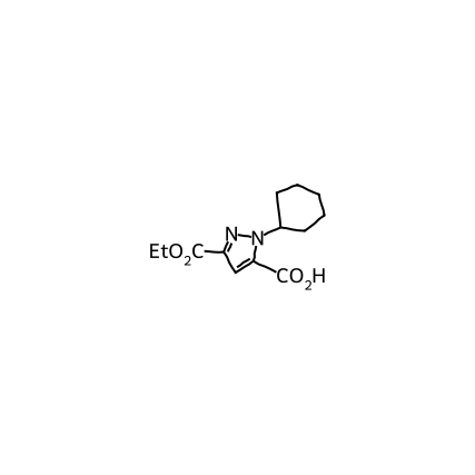 CCOC(=O)c1cc(C(=O)O)n(C2CCCCC2)n1